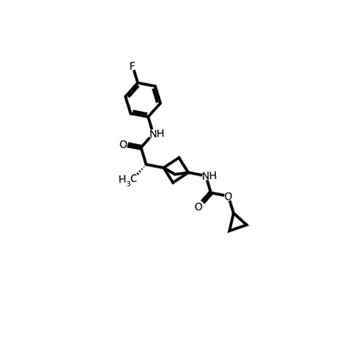 C[C@H](C(=O)Nc1ccc(F)cc1)C12CC(NC(=O)OC3CC3)(C1)C2